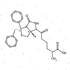 CC(CCCC(=O)C1NC(=O)N2[C@H]1CS[C@@]2(Cc1ccccc1)c1ccccc1)C(=O)O